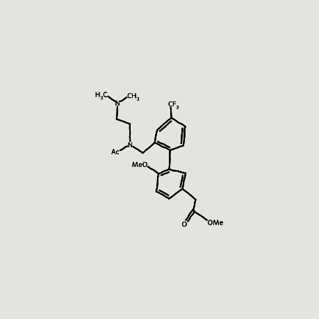 COC(=O)Cc1ccc(OC)c(-c2ccc(C(F)(F)F)cc2CN(CCN(C)C)C(C)=O)c1